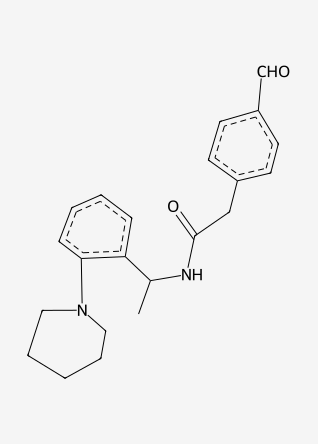 CC(NC(=O)Cc1ccc(C=O)cc1)c1ccccc1N1CCCCC1